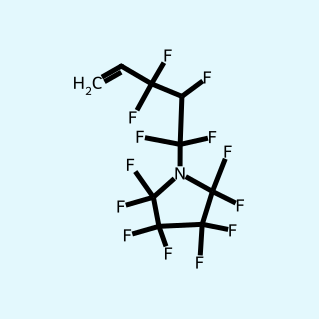 C=CC(F)(F)C(F)C(F)(F)N1C(F)(F)C(F)(F)C(F)(F)C1(F)F